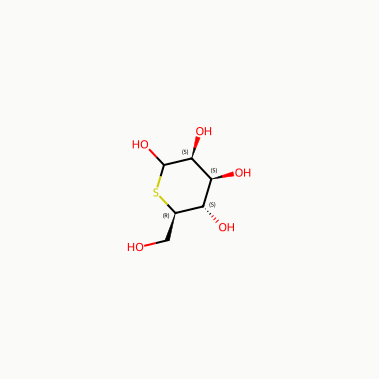 OC[C@H]1SC(O)[C@@H](O)[C@@H](O)[C@@H]1O